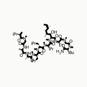 C/C=C\C[C@@H](C)[C@H](O)C(C(=O)N[C@@H](CC)C(=O)N(C)CC(=O)N(C)[C@H](C(N)=O)C(C)CC)N(C)C(=O)[C@@H](C(C)C)N(C)C(=O)[C@@H](CC(C)C)N(C)C(=O)[C@@H](CC(C)C)N(C)C(=O)[C@H](C)NC(=O)[C@@H](C)NC(=O)CN(C)C(=O)[C@H](C)C(C)C